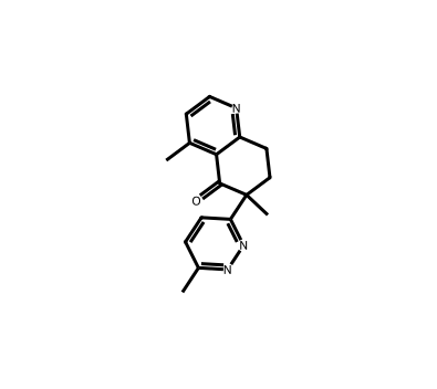 Cc1ccc(C2(C)CCc3nccc(C)c3C2=O)nn1